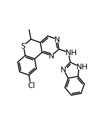 CC1Sc2ccc(Cl)cc2-c2nc(Nc3nc4ccccc4[nH]3)ncc21